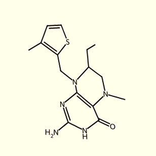 CCC1CN(C)c2c(nc(N)[nH]c2=O)N1Cc1sccc1C